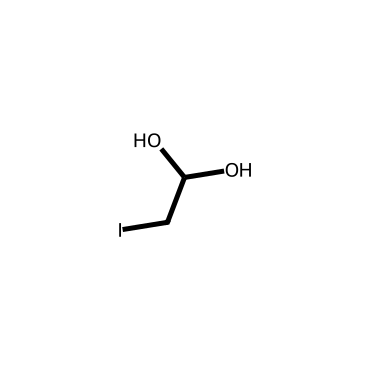 OC(O)CI